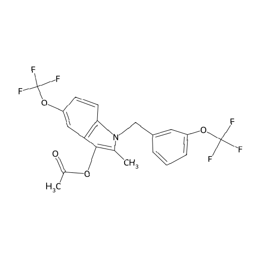 CC(=O)Oc1c(C)n(Cc2cccc(OC(F)(F)F)c2)c2ccc(OC(F)(F)F)cc12